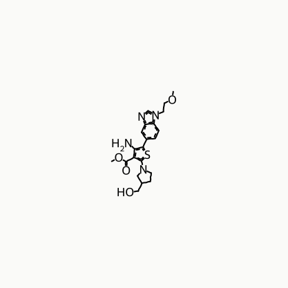 COCCn1cnc2cc(-c3sc(N4CCC(CO)C4)c(C(=O)OC)c3N)ccc21